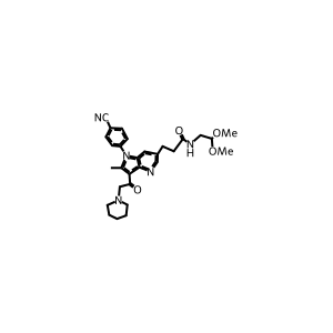 COC(CNC(=O)CCc1cnc2c(C(=O)CN3CCCCC3)c(C)n(-c3ccc(C#N)cc3)c2c1)OC